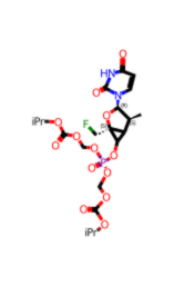 CC(C)OC(=O)OCOP(=O)(OCOC(=O)OC(C)C)OC1C2[C@H](C)[C@H](n3ccc(=O)[nH]c3=O)O[C@]12CF